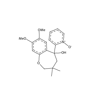 COc1cc2c(cc1OC)C(O)(c1cccc[n+]1[O-])CC(C)(C)CO2